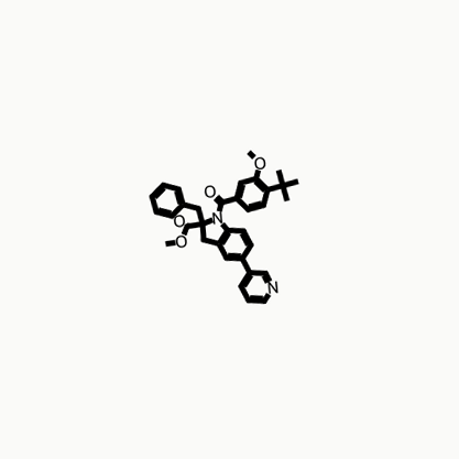 COC(=O)C1(Cc2ccccc2)Cc2cc(-c3cccnc3)ccc2N1C(=O)c1ccc(C(C)(C)C)c(OC)c1